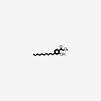 CCCCCCCCCCc1ccc(C(=O)COC)c(O)c1